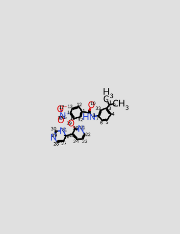 CC(C)c1cccc(NC(=O)c2ccc([N+](=O)[O-])c(Oc3ncccc3-c3ccncn3)c2)c1